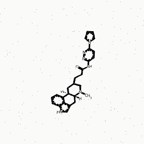 CN1CC(CCC(=O)Nc2ccc(-n3cccc3)nn2)C[C@@H]2c3cccc4[nH]cc(c34)C[C@H]21